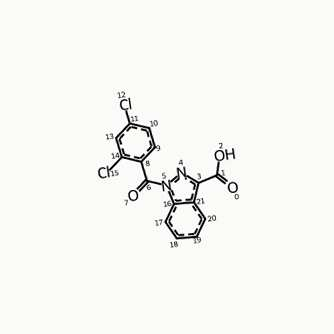 O=C(O)c1nn(C(=O)c2ccc(Cl)cc2Cl)c2ccccc12